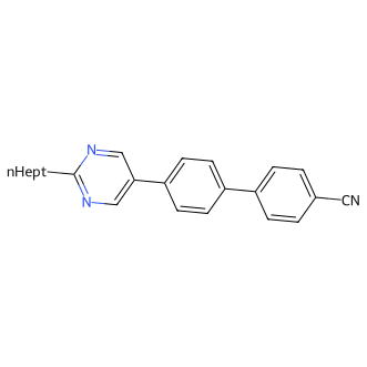 CCCCCCCc1ncc(-c2ccc(-c3ccc(C#N)cc3)cc2)cn1